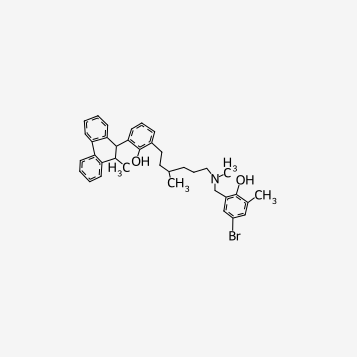 Cc1cc(Br)cc(CN(C)CCCC(C)CCc2cccc(C3c4ccccc4-c4ccccc4C3C)c2O)c1O